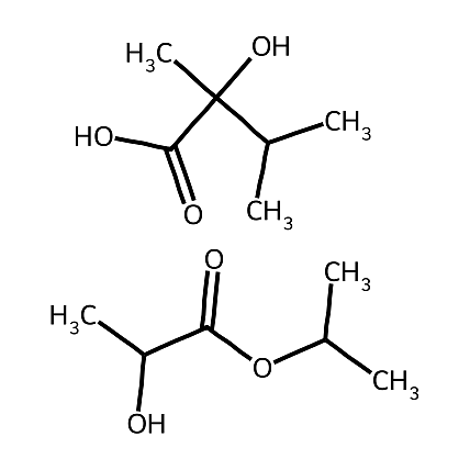 CC(C)C(C)(O)C(=O)O.CC(C)OC(=O)C(C)O